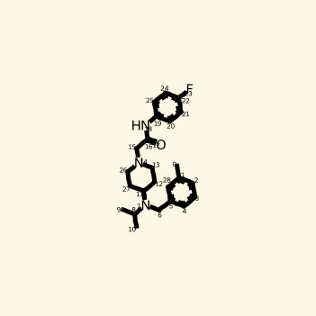 Cc1cccc(CN(C(C)C)C2CCN(CC(=O)Nc3ccc(F)cc3)CC2)c1